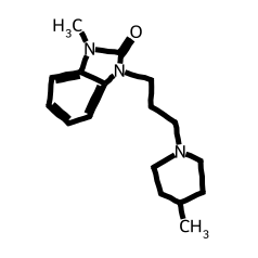 CC1CCN(CCCn2c(=O)n(C)c3ccccc32)CC1